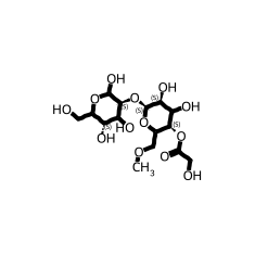 COCC1O[C@@H](O[C@@H]2C(O)OC(CO)[C@@H](O)C2O)[C@@H](O)C(O)[C@@H]1OC(=O)CO